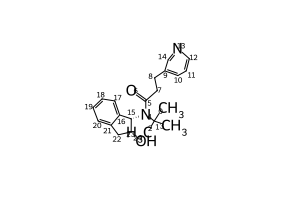 CC(C)(C)N(C(=O)CCc1cccnc1)[C@H]1c2ccccc2C[C@H]1O